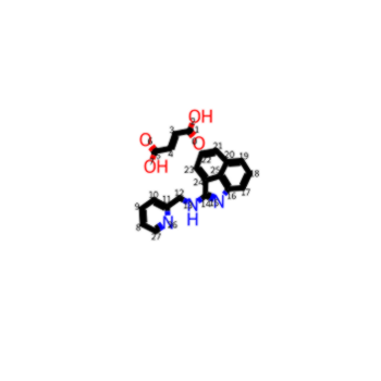 O=C(O)C=CC(=O)O.c1ccc(CNC2=Nc3cccc4cccc2c34)nc1